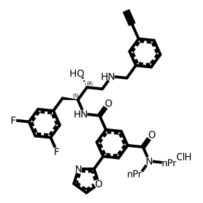 C#Cc1cccc(CNC[C@@H](O)[C@H](Cc2cc(F)cc(F)c2)NC(=O)c2cc(C(=O)N(CCC)CCC)cc(-c3ncco3)c2)c1.Cl